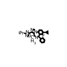 CC(C)c1noc(-c2ncn3c2[C@@H](C)N=C(c2ccccc2F)c2cc(C4CC4)ccc2-3)n1